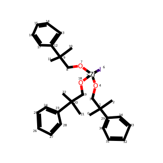 CC(C)(C[O][Zr]([I])([O]CC(C)(C)c1ccccc1)[O]CC(C)(C)c1ccccc1)c1ccccc1